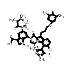 Cc1cc(OCCCc2c3n(c4c(-c5c(C)nn(C)c5C)c(Cl)ccc24)[C@H](C)CN(c2cc(N(C)C(=O)[C@H](C)N(C)C)cc4c(C(=O)O)cn(C)c24)C3=O)cc(C)c1Cl